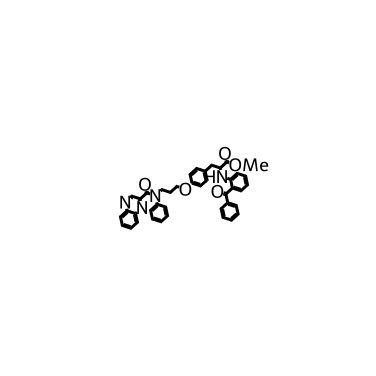 COC(=O)C(Cc1ccc(OCCCN(C(=O)c2cnc3ccccc3n2)c2ccccc2)cc1)Nc1ccccc1C(=O)c1ccccc1